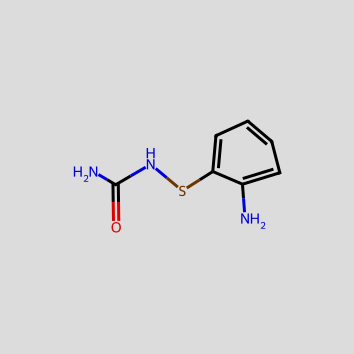 NC(=O)NSc1ccccc1N